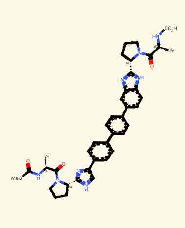 COC(=O)N[C@H](C(=O)N1CCC[C@H]1c1nc(-c2ccc(-c3ccc(-c4ccc5[nH]c([C@@H]6CCCN6C(=O)[C@@H](NC(=O)O)C(C)C)nc5c4)cc3)cc2)c[nH]1)C(C)C